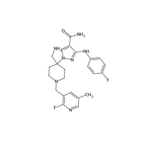 Cc1cnc(F)c(CN2CCC(CN)(n3cc(C(N)=O)c(Nc4ccc(F)cc4)n3)CC2)c1